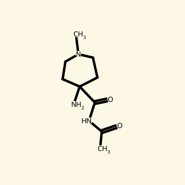 CC(=O)NC(=O)C1(N)CCN(C)CC1